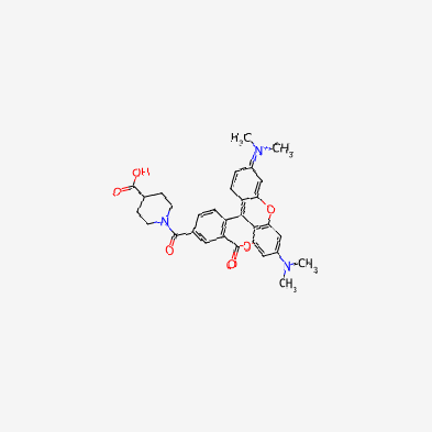 CN(C)c1ccc2c(-c3ccc(C(=O)N4CCC(C(=O)O)CC4)cc3C(=O)[O-])c3ccc(=[N+](C)C)cc-3oc2c1